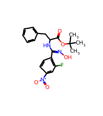 CC(C)(C)OC(=O)C(Cc1ccccc1)NC(=NO)c1ccc([N+](=O)[O-])cc1F